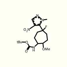 COC1CCC(F)(c2c([N+](=O)[O-])cnn2C)CCC1NC(=O)OC(C)(C)C